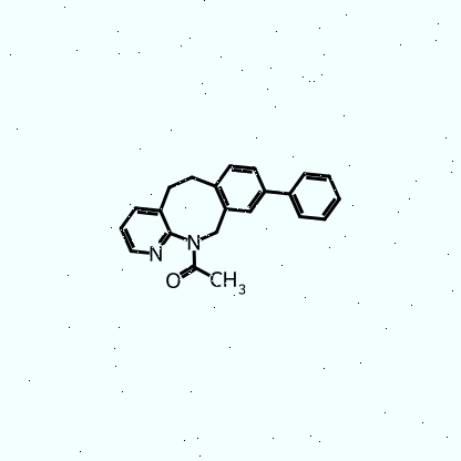 CC(=O)N1Cc2cc(-c3ccccc3)ccc2CCc2cccnc21